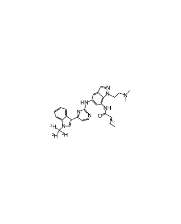 [2H]C([2H])([2H])n1cc(-c2ccnc(Nc3cc(NC(=O)/C=C/C)c4c(cnn4CCN(C)C)c3)n2)c2ccccc21